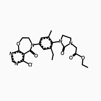 CCOC(=O)CN1CCN(c2c(C)cc(N3CCOc4ncnc(Cl)c4C3=O)cc2CC)C1=O